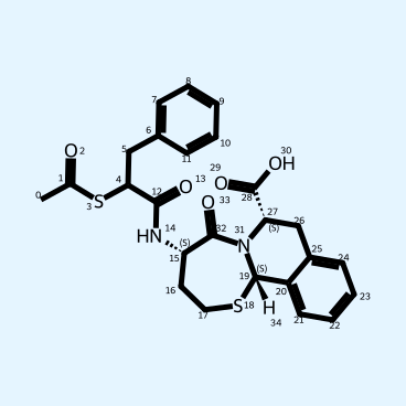 CC(=O)SC(Cc1ccccc1)C(=O)N[C@H]1CCS[C@H]2c3ccccc3C[C@@H](C(=O)O)N2C1=O